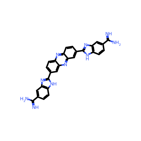 N=C(N)c1ccc2[nH]c(-c3ccc4nc5ccc(-c6nc7cc(C(=N)N)ccc7[nH]6)cc5nc4c3)nc2c1